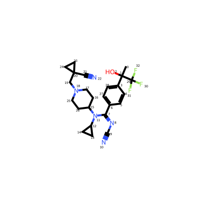 CC(O)(c1ccc(C(=NC#N)N(C2CC2)C2CCN(CC3(C#N)CC3)CC2)cc1)C(F)(F)F